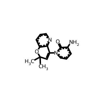 CC1(C)C=C(n2cccc(N)c2=O)c2ncccc2O1